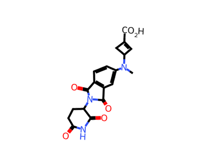 CN(c1ccc2c(c1)C(=O)N(C1CCC(=O)NC1=O)C2=O)C1C=C(C(=O)O)C1